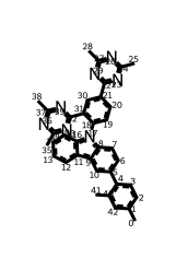 Cc1ccc(-c2ccc3c(c2)c2ccccc2n3-c2ccc(-c3nc(C)nc(C)n3)cc2-c2nc(C)nc(C)n2)c(C)c1